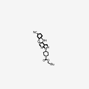 CC(C)(C)COC(=O)N1CCC(n2ncc3c(Nc4ccc(C#N)cc4Cl)ncnc32)CC1